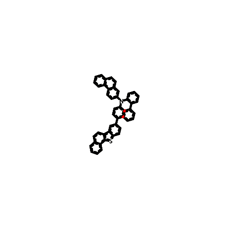 c1ccc(-c2ccccc2N(c2ccc(-c3ccc4sc5c6ccccc6ccc5c4c3)cc2)c2ccc3c(ccc4ccccc43)c2)cc1